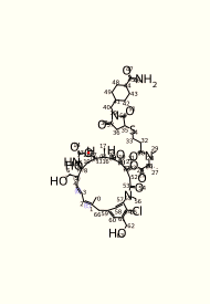 C/C1=C\C=C\[C@@H](CO)[C@@]2(O)C[C@H](OC(=O)N2)[C@@H](C)[C@@H]2O[C@@]2(C)[C@@H](OC(=O)[C@@H](C)N(C)C(=O)CCSC2CC(=O)N(CC3CCC(C(N)=O)CC3)C2=O)CC(=O)N(C)c2cc(cc(CO)c2Cl)C1